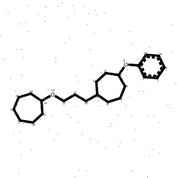 [c]1ccc(OC2CCCC(CCCOC3CC[CH]CCC3)CC2)cc1